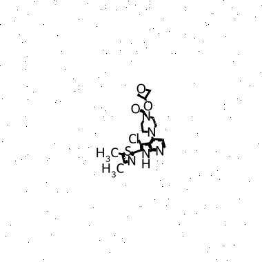 Cc1nc(-c2[nH]c3nccc(N4CCN(C(=O)OC5COC5)CC4)c3c2Cl)sc1C